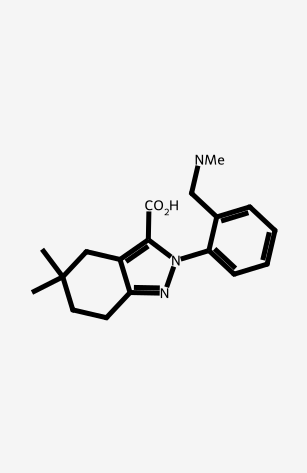 CNCc1ccccc1-n1nc2c(c1C(=O)O)CC(C)(C)CC2